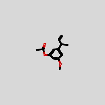 [CH2]C(C=C)c1cc(OC)cc(OC(C)=O)c1